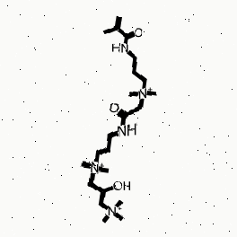 C=C(C)C(=O)NCCC[N+](C)(C)CC(=O)NCCC[N+](C)(C)CC(O)C[N+](C)(C)C